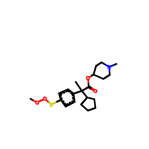 COOSc1ccc(C(C)(C(=O)OC2CCN(C)CC2)C2CCCC2)cc1